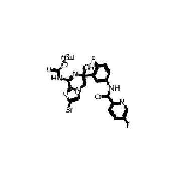 CC(C)(C)OC(=O)NC1=NC(C)(c2cc(NC(=O)c3ccc(F)cn3)ccc2F)Cn2cc(Br)nc21